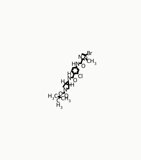 Cn1c(Br)cnc1C(=O)Nc1ccc(C(=O)N[C@H]2[C@@H]3CN(C(=O)OC(C)(C)C)C[C@@H]32)c(Cl)c1